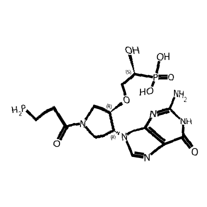 Nc1nc2c(ncn2[C@@H]2CN(C(=O)CCP)C[C@H]2OC[C@@H](O)P(=O)(O)O)c(=O)[nH]1